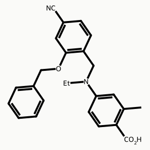 CCN(Cc1ccc(C#N)cc1OCc1ccccc1)c1ccc(C(=O)O)c(C)c1